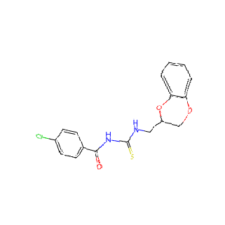 O=C(NC(=S)NCC1COc2ccccc2O1)c1ccc(Cl)cc1